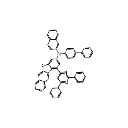 c1ccc(-c2ccc(N(c3ccc4ccccc4c3)c3cc(-c4nc(-c5ccccc5)nc(-c5ccccc5)n4)c4c(c3)oc3cc5ccccc5cc34)cc2)cc1